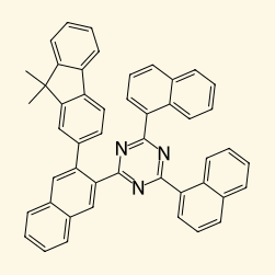 CC1(C)c2ccccc2-c2ccc(-c3cc4ccccc4cc3-c3nc(-c4cccc5ccccc45)nc(-c4cccc5ccccc45)n3)cc21